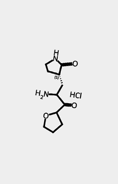 Cl.NC(C[C@@H]1CCNC1=O)C(=O)C1CCCO1